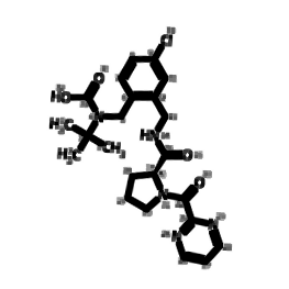 CC(C)(C)N(Cc1ccc(Cl)cc1CNC(=O)[C@@H]1CCCN1C(=O)c1ncccn1)C(=O)O